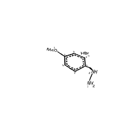 Br.COc1ccc(NN)cc1